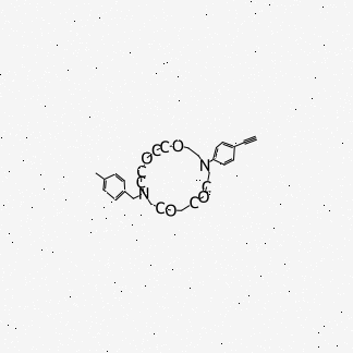 C#Cc1ccc(N2CCOCCOCCN(Cc3ccc(C)cc3)CCOCCOCC2)cc1